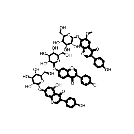 COc1cc2c(=O)c(-c3ccc(O)cc3)coc2cc1O[C@@H]1O[C@H](CO)[C@@H](O)[C@H](O)[C@H]1O.O=c1c(-c2ccc(O)cc2)coc2cc(OC3O[C@H](CO)[C@@H](O)[C@H](O)[C@H]3O)ccc12.O=c1c(-c2ccc(O)cc2)coc2cc(O[C@@H]3O[C@H](CO)[C@@H](O)[C@H](O)[C@H]3O)cc(O)c12